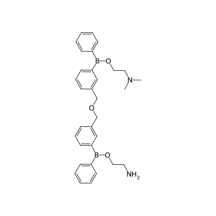 CN(C)CCOB(c1ccccc1)c1cccc(COCc2cccc(B(OCCN)c3ccccc3)c2)c1